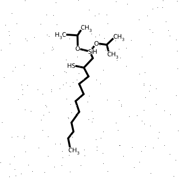 CCCCCCCCCC(S)C[SiH](OC(C)C)OC(C)C